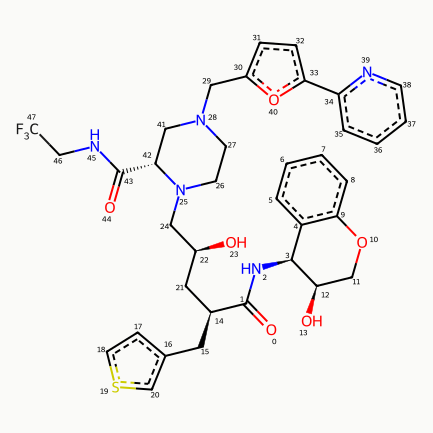 O=C(N[C@H]1c2ccccc2OC[C@H]1O)[C@@H](Cc1ccsc1)C[C@H](O)CN1CCN(Cc2ccc(-c3ccccn3)o2)C[C@H]1C(=O)NCC(F)(F)F